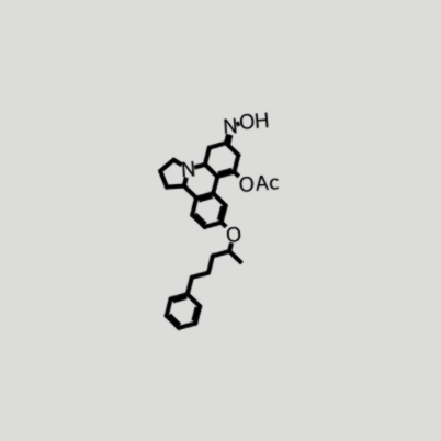 CC(=O)OC1=C2c3cc(OC(C)CCCc4ccccc4)ccc3C3CCCN3C2CC(=NO)C1